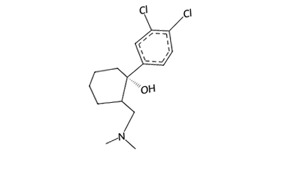 CN(C)CC1CCCC[C@@]1(O)c1ccc(Cl)c(Cl)c1